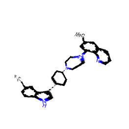 COc1cc(N2CCN([C@H]3CC[C@@H](c4c[nH]c5ccc(C(F)(F)F)cc54)CC3)CC2)c2ncccc2c1